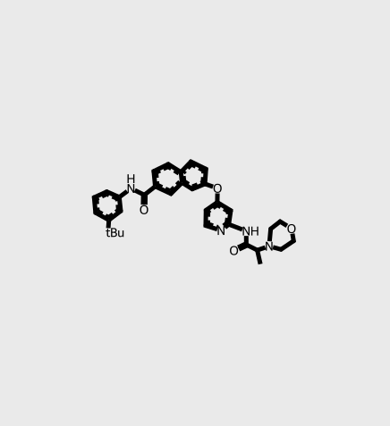 CC(C(=O)Nc1cc(Oc2ccc3ccc(C(=O)Nc4cccc(C(C)(C)C)c4)cc3c2)ccn1)N1CCOCC1